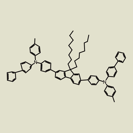 CCCCCCCCC1(CCCCCCCC)c2cc(-c3ccc(N(c4ccc(C)cc4)c4ccc(-c5ccccc5)cc4)cc3)ccc2-c2ccc(-c3ccc(N(c4ccc(C)cc4)c4ccc(-c5ccccc5)cc4)cc3)cc21